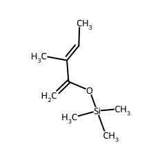 C=C(O[Si](C)(C)C)/C(C)=C/C